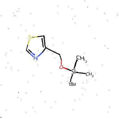 CC(C)(C)[Si](C)(C)OCc1cscn1